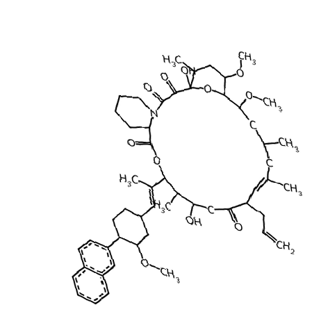 C=CCC1/C=C(\C)CC(C)CC(OC)C2OC(O)(C(=O)C(=O)N3CCCCC3C(=O)OC(C(C)=CC3CCC(c4ccc5ccccc5c4)C(OC)C3)C(C)C(O)CC1=O)C(C)CC2OC